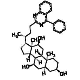 C[C@H](CCc1nc(-c2ccccc2)c2ccccc2n1)[C@H]1CC[C@H]2[C@@H]3[C@H](O)C[C@@H]4C[C@H](O)CC[C@]4(C)[C@H]3C[C@H](O)[C@]12C